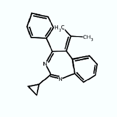 CC(C)=C1C(c2ccccc2)=NC(C2CC2)=Nc2ccccc21